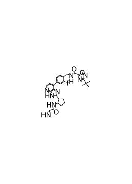 CC(C)(C)c1noc(C(=O)NCc2ccc(-c3ccnc4[nH]c(C5CCCC5NC(=O)C=N)nc34)cc2F)n1